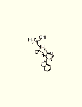 CC(CO)CNC(=O)c1nc2c(N3CCc4ccccc43)ncnc2s1